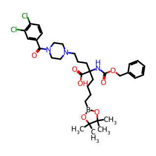 CC1(C)OB(CCCCC(CCCN2CCN(C(=O)c3ccc(Cl)c(Cl)c3)CC2)(NC(=O)OCc2ccccc2)C(=O)O)OC1(C)C